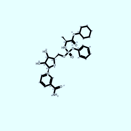 C[C@H](NP(=O)(OC[C@H]1O[C@@H]([n+]2cccc(C(N)=O)c2)C(O)C1O)Oc1ccccc1)C(=O)OC1CCCCC1